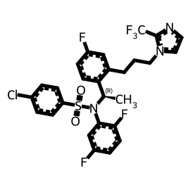 C[C@H](c1ccc(F)cc1CCCn1ccnc1C(F)(F)F)N(c1cc(F)ccc1F)S(=O)(=O)c1ccc(Cl)cc1